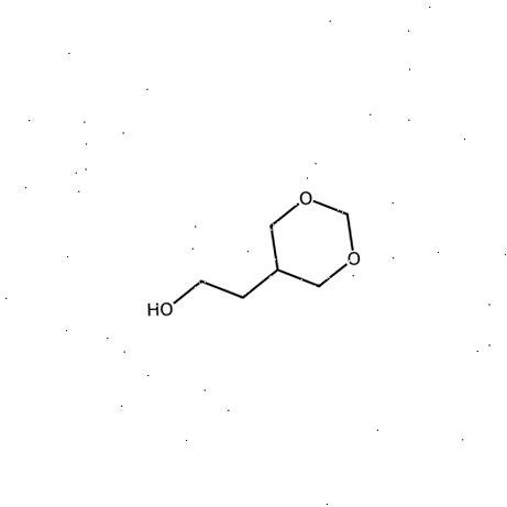 OCCC1COCOC1